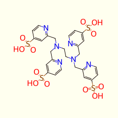 O=S(=O)(O)c1ccnc(CN(CCN(Cc2cc(S(=O)(=O)O)ccn2)Cc2cc(S(=O)(=O)O)ccn2)Cc2cc(S(=O)(=O)O)ccn2)c1